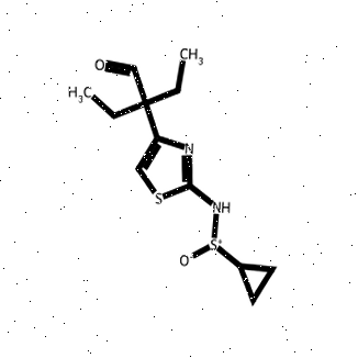 CCC(C=O)(CC)c1csc(N[S+]([O-])C2CC2)n1